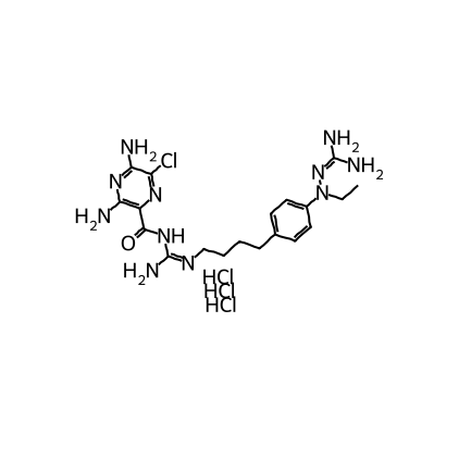 CCN(N=C(N)N)c1ccc(CCCCN=C(N)NC(=O)c2nc(Cl)c(N)nc2N)cc1.Cl.Cl.Cl